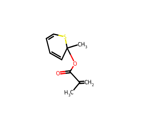 C=C(C)C(=O)OC1(C)C=CC=CS1